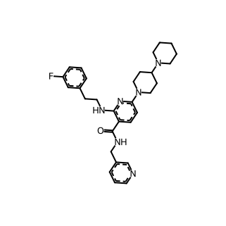 O=C(NCc1cccnc1)c1ccc(N2CCC(N3CCCCC3)CC2)nc1NCCc1cccc(F)c1